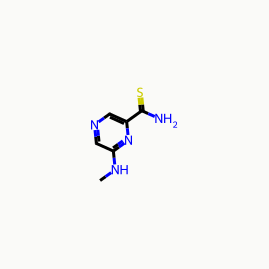 CNc1cncc(C(N)=S)n1